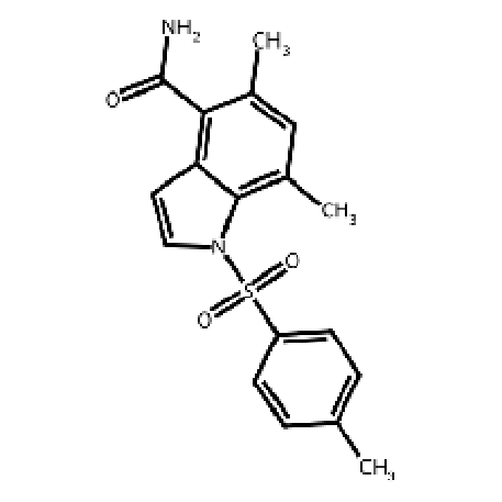 Cc1ccc(S(=O)(=O)n2ccc3c(C(N)=O)c(C)cc(C)c32)cc1